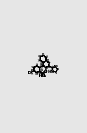 CCCCOc1c(C2=NCCN2)cc2ccccc2c1-c1ccc(Cl)cc1.Cl